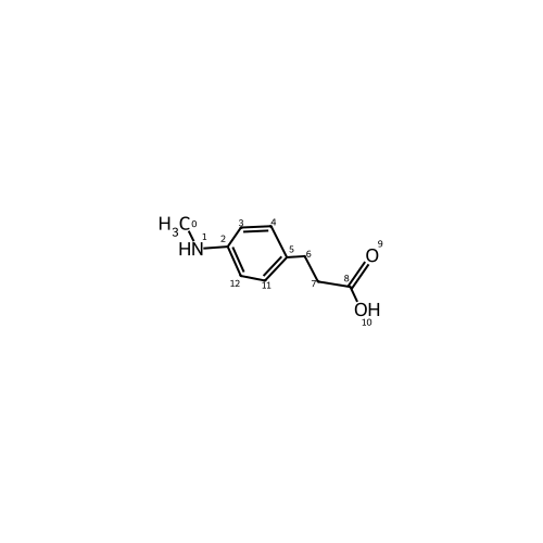 CNc1ccc(CCC(=O)O)cc1